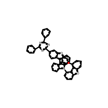 c1ccc(-c2nc(-c3ccccc3)nc(-c3ccc4c(c3)oc3cc(-c5cccc6oc7cccc(-n8c9ccccc9c9ccccc98)c7c56)ccc34)n2)cc1